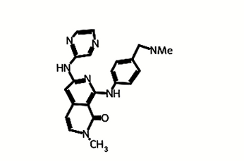 CNCc1ccc(Nc2nc(Nc3cnccn3)cc3ccn(C)c(=O)c23)cc1